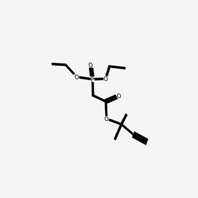 C#CC(C)(C)OC(=O)CP(=O)(OCC)OCC